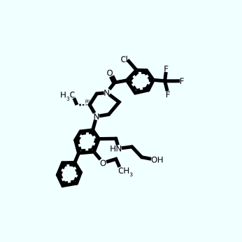 CCOc1c(-c2ccccc2)ccc(N2CCN(C(=O)c3ccc(C(F)(F)F)cc3Cl)C[C@H]2CC)c1CNCCO